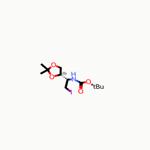 CC(C)(C)OC(=O)NC(CI)[C@H]1COC(C)(C)O1